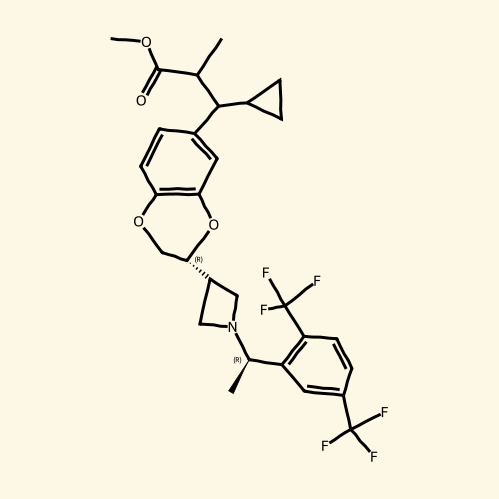 COC(=O)C(C)C(c1ccc2c(c1)O[C@H](C1CN([C@H](C)c3cc(C(F)(F)F)ccc3C(F)(F)F)C1)CO2)C1CC1